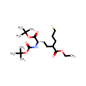 CCOC(=O)C(CCCF)CC[C@H](NC(=O)OC(C)(C)C)C(=O)OC(C)(C)C